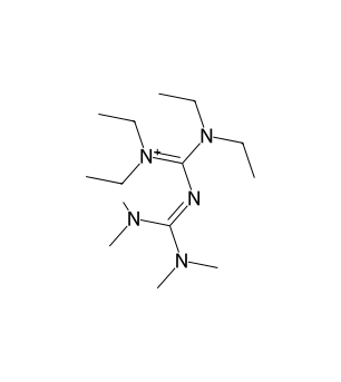 CCN(CC)C(N=C(N(C)C)N(C)C)=[N+](CC)CC